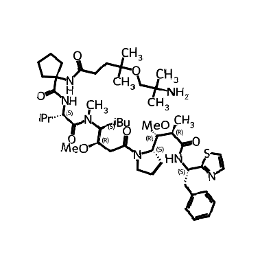 CC[C@H](C)C([C@@H](CC(=O)N1CCC[C@H]1[C@H](OC)[C@@H](C)C(=O)N[C@@H](Cc1ccccc1)c1nccs1)OC)N(C)C(=O)[C@@H](NC(=O)C1(NC(=O)CCC(C)(C)OCC(C)(C)N)CCCC1)C(C)C